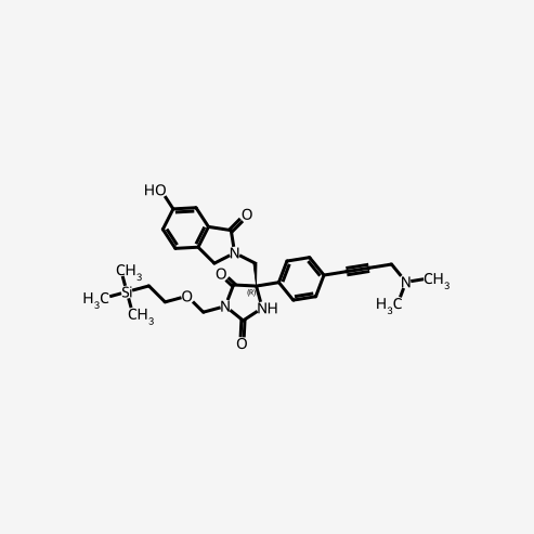 CN(C)CC#Cc1ccc([C@]2(CN3Cc4ccc(O)cc4C3=O)NC(=O)N(COCC[Si](C)(C)C)C2=O)cc1